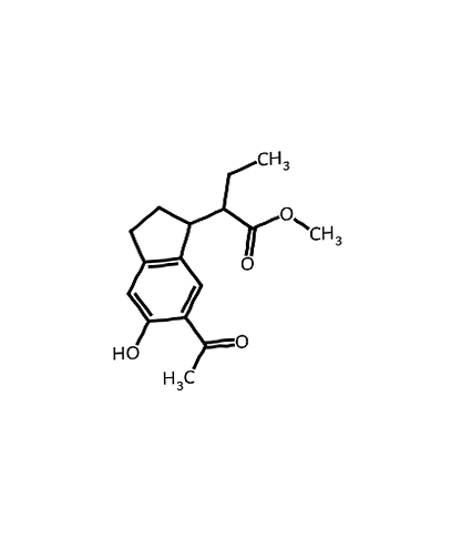 CCC(C(=O)OC)C1CCc2cc(O)c(C(C)=O)cc21